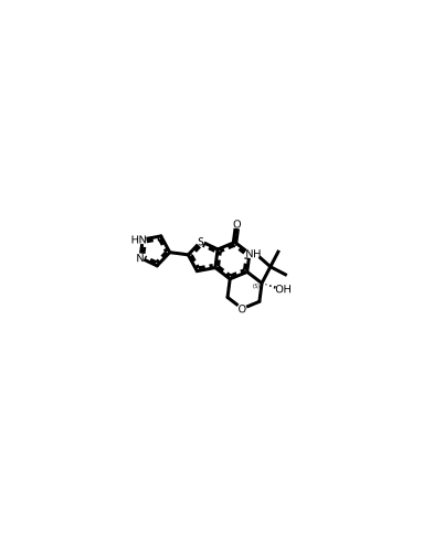 CC(C)(C)[C@@]1(O)COCc2c1[nH]c(=O)c1sc(-c3cn[nH]c3)cc21